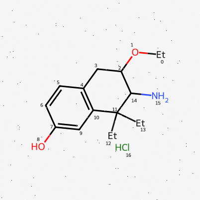 CCOC1Cc2ccc(O)cc2C(CC)(CC)C1N.Cl